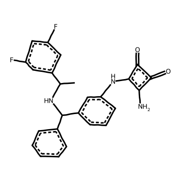 CC(NC(c1ccccc1)c1cccc(Nc2c(N)c(=O)c2=O)c1)c1cc(F)cc(F)c1